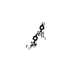 N/C(=N\NCc1ccc(-c2noc(C(F)(F)F)n2)cc1)c1ccc(Cl)cc1